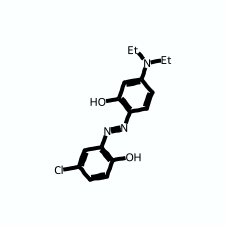 CCN(CC)c1ccc(N=Nc2cc(Cl)ccc2O)c(O)c1